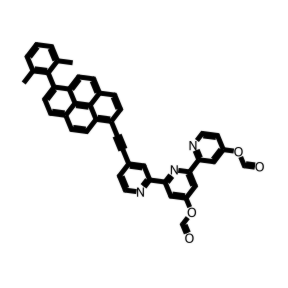 Cc1cccc(C)c1-c1ccc2ccc3c(C#Cc4ccnc(-c5cc(OC=O)cc(-c6cc(OC=O)ccn6)n5)c4)ccc4ccc1c2c43